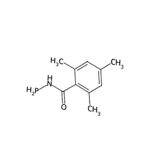 Cc1cc(C)c(C(=O)NP)c(C)c1